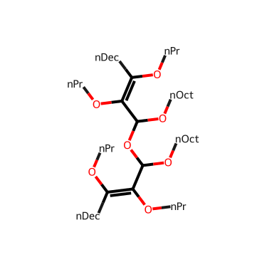 CCCCCCCCCCC(OCCC)=C(OCCC)C(OCCCCCCCC)OC(OCCCCCCCC)C(OCCC)=C(CCCCCCCCCC)OCCC